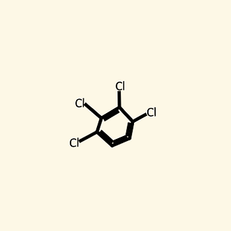 ClC1=C=C=C(Cl)C(Cl)=C1Cl